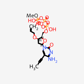 C=CCO[C@@H]1C[C@H](n2cc(C#CC)c(N)nc2=O)O[C@@H]1COP(=O)(O)OP(=O)(O)OP(=O)(O)OC